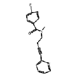 CN(CCC#Cc1ccccn1)C(=O)c1ccc(F)cc1